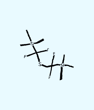 C[Si](C)(C)C(F)(F)SC(F)(F)[Si](C)(C)C